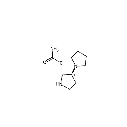 C1CCN([C@H]2CCNC2)C1.NC(=O)Cl